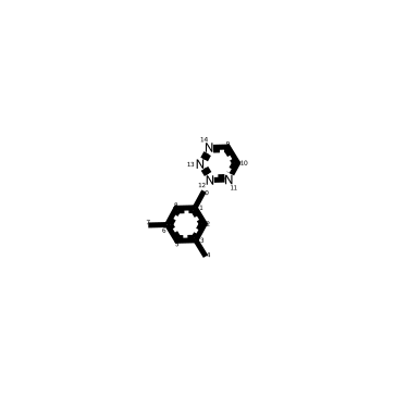 Cc1cc(C)cc(C)c1.c1cnnnn1